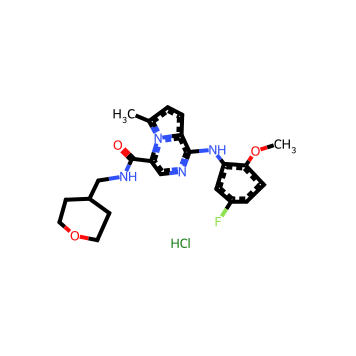 COc1ccc(F)cc1Nc1ncc(C(=O)NCC2CCOCC2)n2c(C)ccc12.Cl